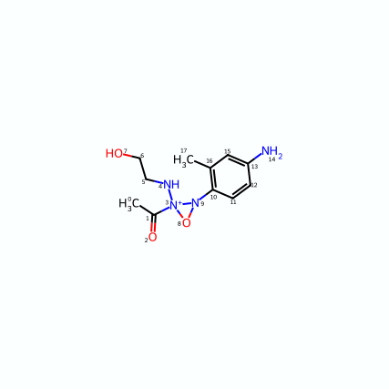 CC(=O)[N+]1(NCCO)ON1c1ccc(N)cc1C